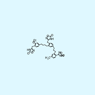 CCOc1cc(CCCCc2cc(CCCc3cc(C)ccc3-c3noc(=O)[nH]3)ccc2Cc2noc(=O)[nH]2)ccc1Cc1noc(=O)[nH]1